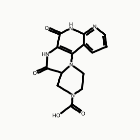 O=C1Nc2c(c3cccnc3[nH]c2=O)N2CCN(C(=O)O)CC12